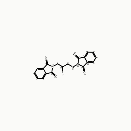 O=C1c2ccccc2C(=O)N1CC(F)CON1C(=O)c2ccccc2C1=O